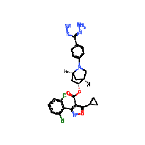 N=N/C(=N\N)c1ccc(N2C[C@@H]3C[C@H]2C[C@H]3OC(=O)c2c(-c3c(Cl)cccc3Cl)noc2C2CC2)cc1